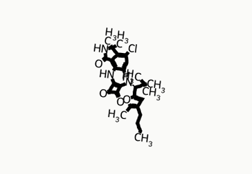 CCCCc1cc([C@H](Nc2c(Nc3c(F)cc(Cl)c4c3C(=O)NC4(C)C)c(=O)c2=O)C(C)(C)C)oc1C